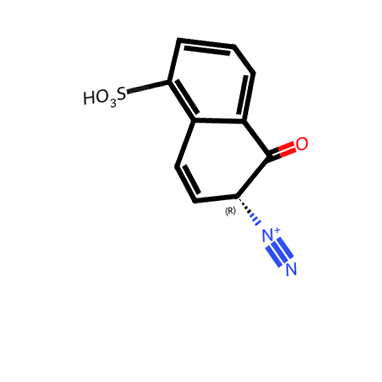 N#[N+][C@@H]1C=Cc2c(cccc2S(=O)(=O)O)C1=O